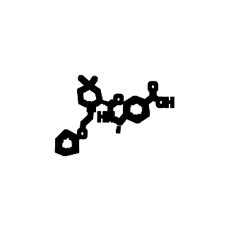 C[C@H](NC(=O)[C@H]1CC(C)(C)CCN1CCOc1ccccc1)c1ccc(C(=O)O)cc1